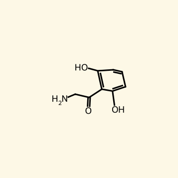 NCC(=O)c1c(O)cccc1O